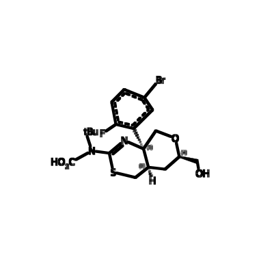 CC(C)(C)N(C(=O)O)C1=N[C@@]2(c3cc(Br)ccc3F)CO[C@@H](CO)C[C@H]2CS1